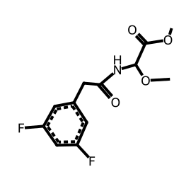 COC(=O)C(NC(=O)Cc1cc(F)cc(F)c1)OC